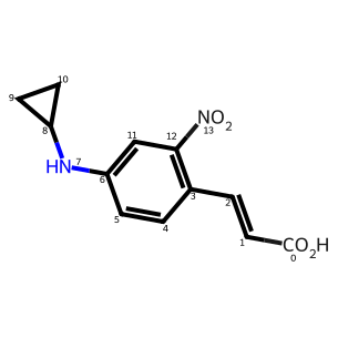 O=C(O)C=Cc1ccc(NC2CC2)cc1[N+](=O)[O-]